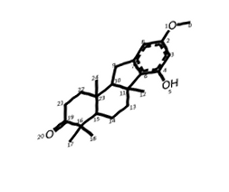 COc1cc(O)c2c(c1)CC1C2(C)CCC2C(C)(C)C(=O)CCC21C